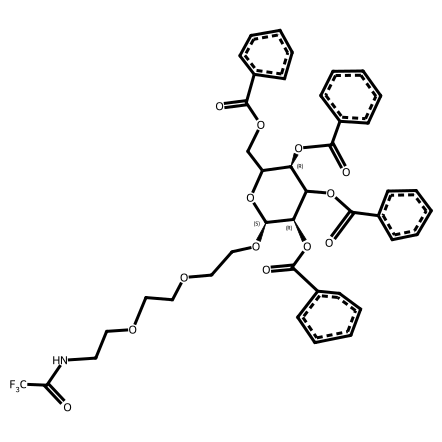 O=C(OCC1O[C@H](OCCOCCOCCNC(=O)C(F)(F)F)[C@H](OC(=O)c2ccccc2)C(OC(=O)c2ccccc2)[C@@H]1OC(=O)c1ccccc1)c1ccccc1